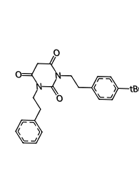 CC(C)(C)c1ccc(CCN2C(=O)CC(=O)N(CCc3ccccc3)C2=O)cc1